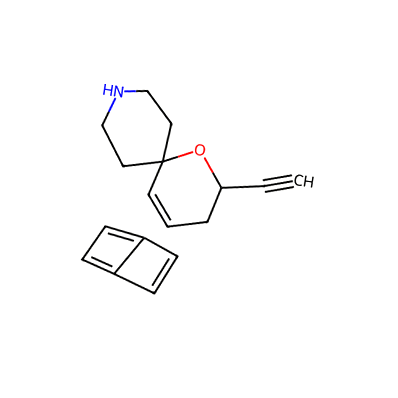 C#CC1CC=CC2(CCNCC2)O1.c1cc2ccc1-2